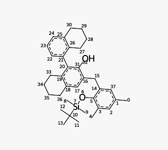 Cc1cc(C)c(O[Si](C)(C)C(C)(C)C)c(Cc2cc3c(c(-c4cccc5c4CCCC5)c2O)CCCC3)c1